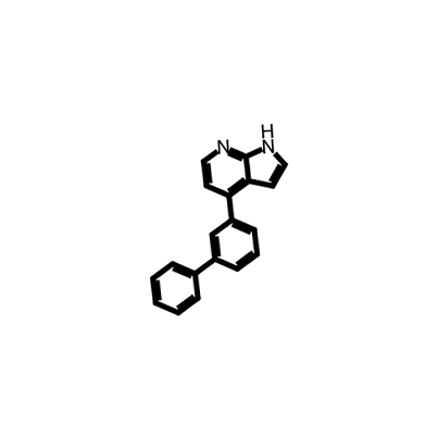 c1ccc(-c2cccc(-c3ccnc4[nH]ccc34)c2)cc1